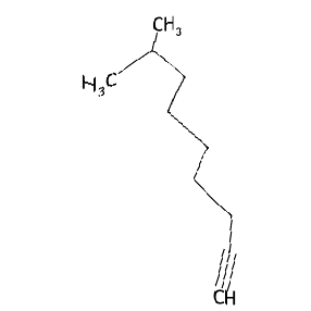 C#CCCCCCC(C)C